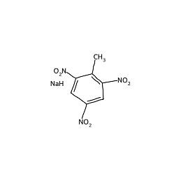 Cc1c([N+](=O)[O-])cc([N+](=O)[O-])cc1[N+](=O)[O-].[NaH]